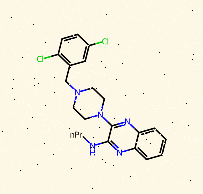 CCCNc1nc2ccccc2nc1N1CCN(Cc2cc(Cl)ccc2Cl)CC1